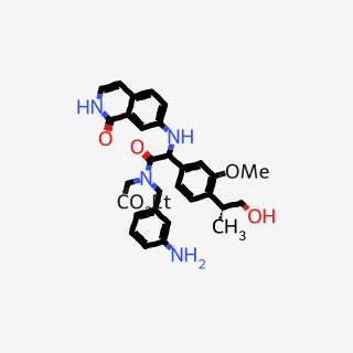 CCOC(=O)CN(Cc1cccc(N)c1)C(=O)C(Nc1ccc2cc[nH]c(=O)c2c1)c1ccc([C@@H](C)CO)c(OC)c1